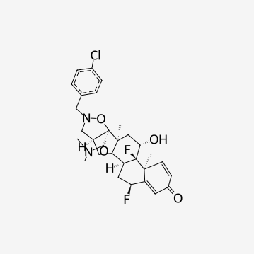 CN(C)C(=O)[C@@]12ON(Cc3ccc(Cl)cc3)C[C@@H]1CC1[C@@H]3C[C@H](F)C4=CC(=O)C=C[C@]4(C)[C@@]3(F)[C@@H](O)C[C@@]12C